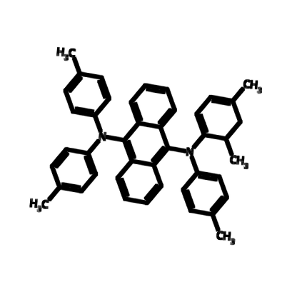 CC1=CC=C(N(c2ccc(C)cc2)c2c3ccccc3c(N(c3ccc(C)cc3)c3ccc(C)cc3)c3ccccc23)C(C)C1